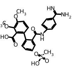 COc1ccc(-c2ccccc2C(=O)Nc2ccc(C(=N)N)cc2)c(C(=O)O)c1OC.CS(=O)(=O)O